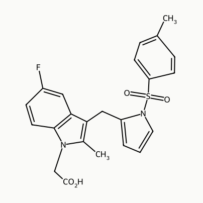 Cc1ccc(S(=O)(=O)n2cccc2Cc2c(C)n(CC(=O)O)c3ccc(F)cc23)cc1